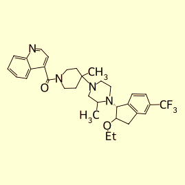 CCOC1Cc2cc(C(F)(F)F)ccc2[C@H]1N1CCN(C2(C)CCN(C(=O)c3ccnc4ccccc34)CC2)CC1C